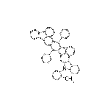 Cc1ccccc1-n1c2ccccc2c2c3cccc4c5c(-c6ccccc6)c6c(cc7c8ccccc8c8cccc6c87)c(-c6ccccc6)c5c(cc21)c43